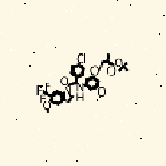 COc1cc(NC(C(=O)N2CCc3cc(OC)c(C(F)(F)F)cc32)c2ccc(Cl)cc2)cc(OCCC(C)C(=O)OC(C)(C)C)c1